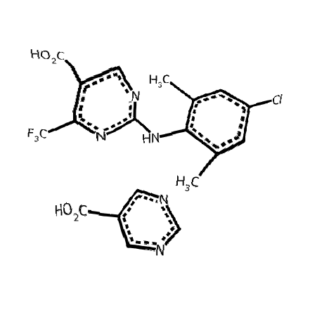 Cc1cc(Cl)cc(C)c1Nc1ncc(C(=O)O)c(C(F)(F)F)n1.O=C(O)c1cncnc1